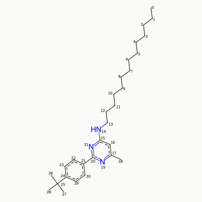 CCCCCCCCCCCCCCNc1cc(C)nc(-c2ccc(C(C)(C)C)cc2)n1